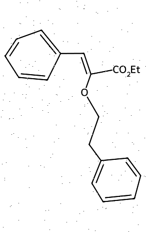 CCOC(=O)C(=Cc1ccccc1)OCCc1ccccc1